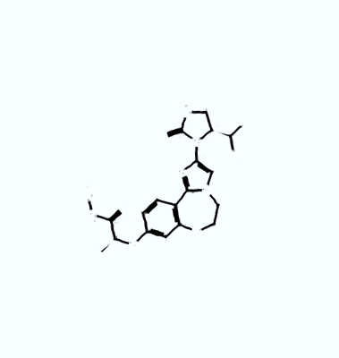 C[C@H](Nc1ccc2c(c1)OCCn1cc(N3C(=O)OC[C@H]3C(F)F)nc1-2)C(=O)NO